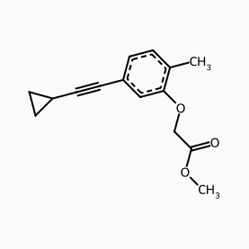 COC(=O)COc1cc(C#CC2CC2)ccc1C